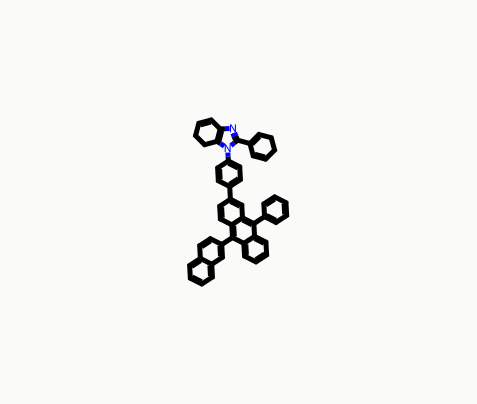 C1=CC(c2nc3c(n2-c2ccc(-c4ccc5c(-c6ccc7ccccc7c6)c6ccccc6c(-c6ccccc6)c5c4)cc2)CCC=C3)=CCC1